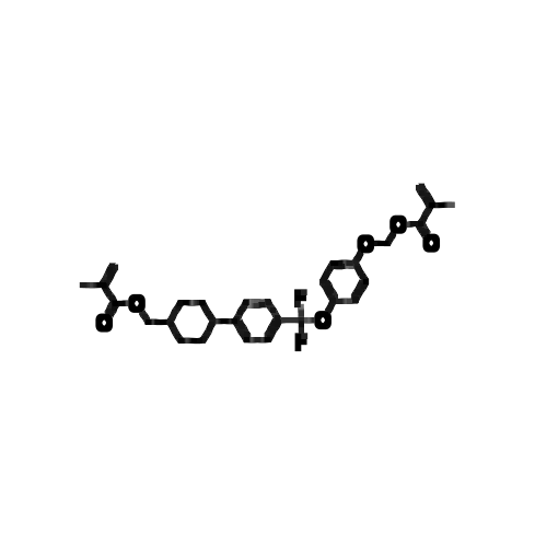 C=C(C)C(=O)OCOc1ccc(OC(F)(F)c2ccc(C3CCC(COC(=O)C(=C)C)CC3)cc2)cc1